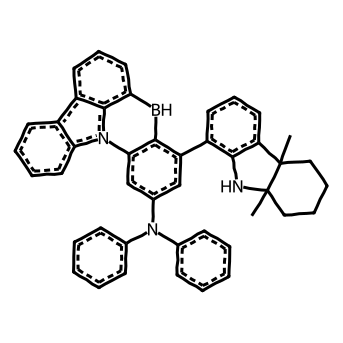 CC12CCCCC1(C)c1cccc(-c3cc(N(c4ccccc4)c4ccccc4)cc4c3Bc3cccc5c6ccccc6n-4c35)c1N2